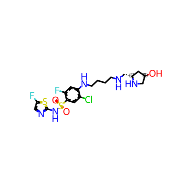 O=S(=O)(Nc1ncc(F)s1)c1cc(Cl)c(NCCCCNC[C@@H]2C[C@@H](O)CN2)cc1F